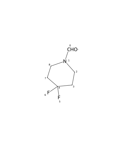 O=[C]N1CCC(F)(F)CC1